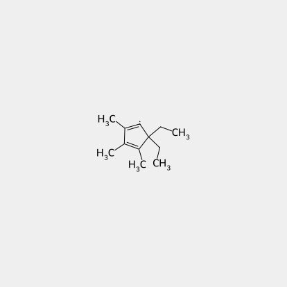 CCC1(CC)[C]=C(C)C(C)=C1C